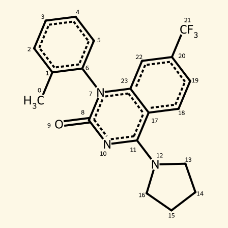 Cc1ccccc1-n1c(=O)nc(N2CCCC2)c2ccc(C(F)(F)F)cc21